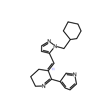 C(=C1/CCCN=C1c1cccnc1)/c1ccnn1CC1CCCCC1